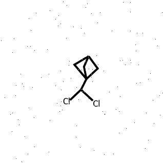 ClC(Cl)C12CC(C1)C2